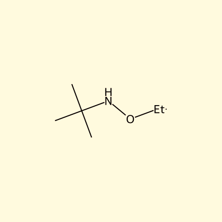 C[CH]ONC(C)(C)C